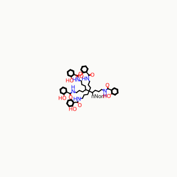 CCCCCCCCCC(CCCNC(=O)c1ccccc1O)C(CCCNC(=O)c1ccccc1O)(CCCNC(=O)c1ccccc1O)[C](CCCNC(=O)c1ccccc1O)CCCNC(=O)c1ccccc1O